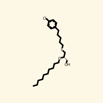 CCCCCCCCCCO[C@@H](CO)CSCCCCCc1ccc(Cl)cc1